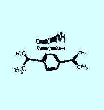 CC(C)c1ccc(C(C)C)cc1.N=C=O.N=C=O